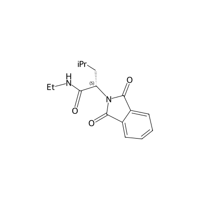 CCNC(=O)[C@H](CC(C)C)N1C(=O)c2ccccc2C1=O